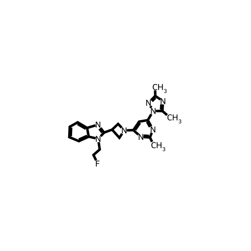 Cc1nc(N2CC(c3nc4ccccc4n3CCF)C2)cc(-n2nc(C)nc2C)n1